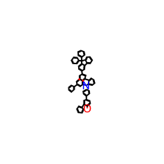 c1ccc(-c2cccc(N(c3ccc(-c4ccc5oc6ccccc6c5c4)cc3)c3ccccc3-c3cccc(-c4ccc5c(c4)-c4ccccc4C5(c4ccccc4)c4ccccc4)c3)c2)cc1